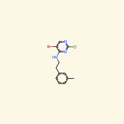 Cc1cccc(CCNc2nc(Cl)ncc2Br)c1